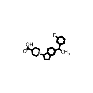 CC(c1cccc(F)c1)c1ccc2c(c1)CCC2N1CCC(C(=O)O)CC1